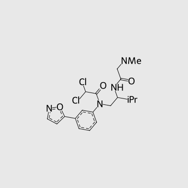 CNCC(=O)NC(CN(C(=O)C(Cl)Cl)c1cccc(-c2ccno2)c1)C(C)C